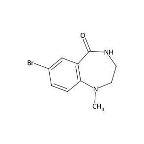 CN1CCNC(=O)c2cc(Br)ccc21